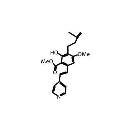 C=C(C)CCc1c(OC)cc(C=Cc2ccncc2)c(C(=O)OC)c1O